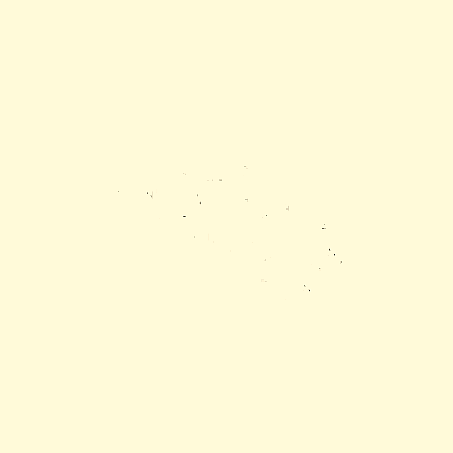 CC1CN(C)CC(C)C1(O)c1ccc(-c2ccnc3[nH]cc(Br)c23)cc1Cl